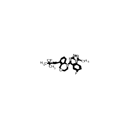 Cc1nnc2nc(N3CCOCc4c(C#CC(C)(C)C(F)(F)F)cccc43)c3cc(F)ccc3n12